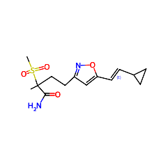 CC(CCc1cc(/C=C/C2CC2)on1)(C(N)=O)S(C)(=O)=O